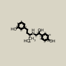 C[C@H](CCc1cccc(O)c1)NCC(O)c1ccc(O)cc1.Cl